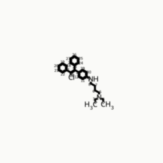 CCN(CC)CCCCNc1ccc(C(=C(Cl)c2ccccc2)c2ccccc2)cc1